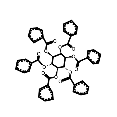 O=C(O[C@H]1[C@H](OC(=O)c2ccccc2)[C@@H](OC(=O)c2ccccc2)[C@H](OC(=O)c2ccccc2)[C@@H](OC(=O)c2ccccc2)[C@H]1OC(=O)c1ccccc1)c1ccccc1